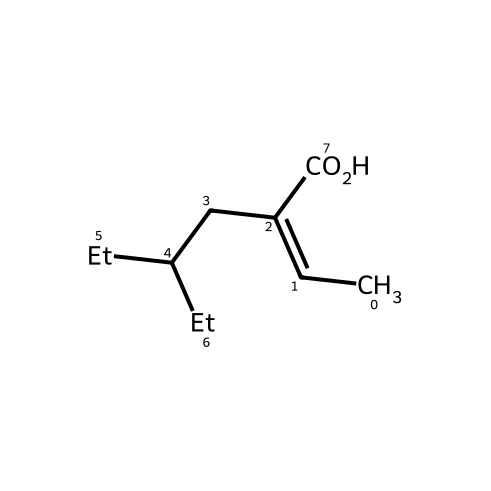 CC=C(CC(CC)CC)C(=O)O